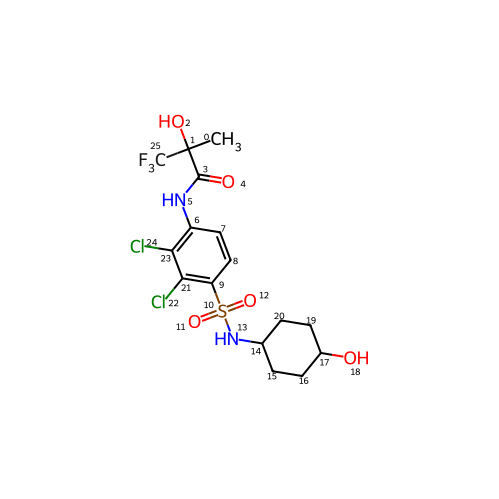 CC(O)(C(=O)Nc1ccc(S(=O)(=O)NC2CCC(O)CC2)c(Cl)c1Cl)C(F)(F)F